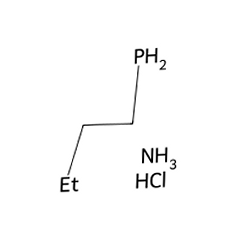 CCCCP.Cl.N